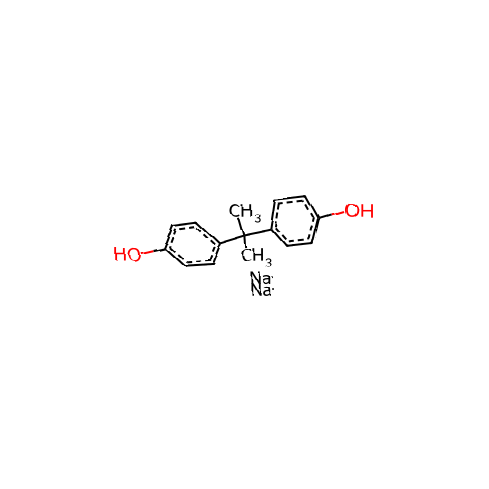 CC(C)(c1ccc(O)cc1)c1ccc(O)cc1.[Na].[Na]